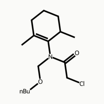 CCCCOCN(C(=O)CCl)C1=C(C)CCCC1C